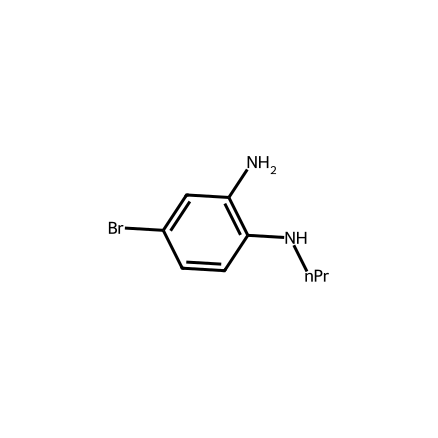 CCCNc1ccc(Br)cc1N